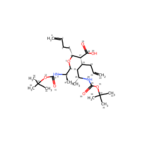 C=CCC[C@@H](OC[C@@H](C)NC(=O)OC(C)(C)C)[C@H](C(=O)O)C(CC=C)C[C@@H](C)NC(=O)OC(C)(C)C